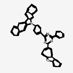 c1ccc(-c2nc(-c3ccc(-n4c5cc6ccccc6cc5c5cc6ccccc6cc54)cc3)nc(-c3ccc4oc5ccccc5c4c3)n2)cc1